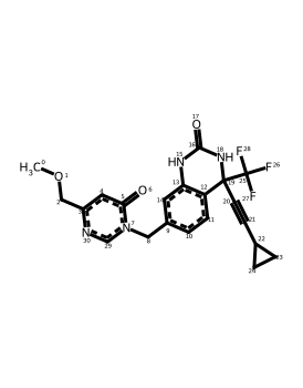 COCc1cc(=O)n(Cc2ccc3c(c2)NC(=O)NC3(C#CC2CC2)C(F)(F)F)cn1